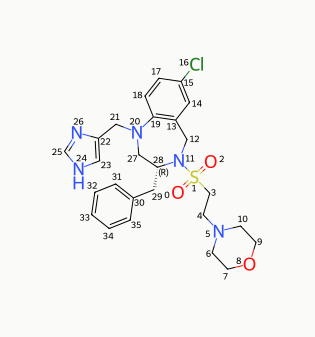 O=S(=O)(CCN1CCOCC1)N1Cc2cc(Cl)ccc2N(Cc2c[nH]cn2)C[C@H]1Cc1ccccc1